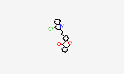 O=C1c2ccccc2COc2ccc(/C=C/c3cc(Cl)c4ccccc4n3)cc21